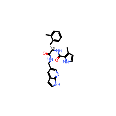 Cc1ccccc1C[C@H](NC(=O)c1[nH]ccc1C)C(=O)NCc1cnc2[nH]ccc2c1